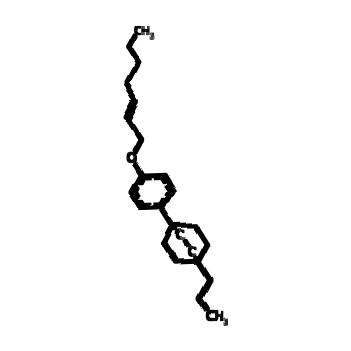 CCCCC=CCOc1ccc(C23CCC(CCC)(CC2)CC3)cc1